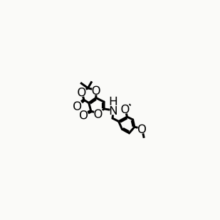 COc1ccc(CNc2cc3c(c(=O)o2)C(=O)OC(C)(C)O3)c(OC)c1